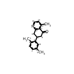 Cc1ccc(C)c(C2CC(=O)c3c(C)ccnc3C2)c1